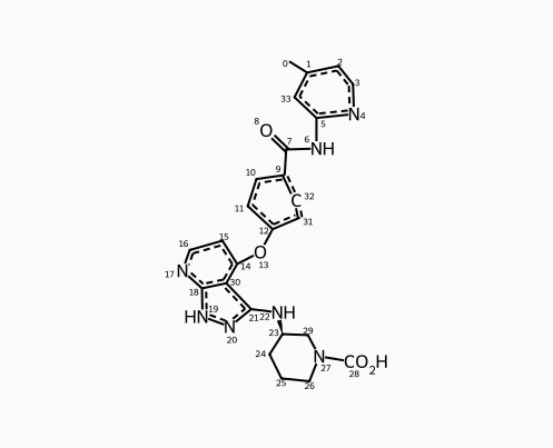 Cc1ccnc(NC(=O)c2ccc(Oc3ccnc4[nH]nc(N[C@@H]5CCCN(C(=O)O)C5)c34)cc2)c1